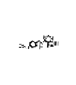 CCOc1ccc(CNc2ncnc3[nH]cnc23)cc1